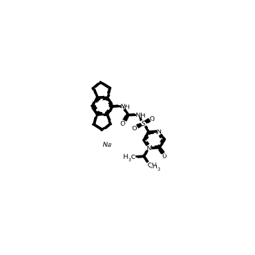 CC(C)n1cc(S(=O)(=O)NC(=O)Nc2c3c(cc4c2CCC4)CCC3)ncc1=O.[Na]